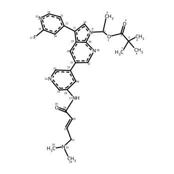 CC(OC(=O)C(C)(C)C)n1cc(-c2ccnc(F)c2)c2cc(-c3cncc(NC(=O)C=CCN(C)C)c3)cnc21